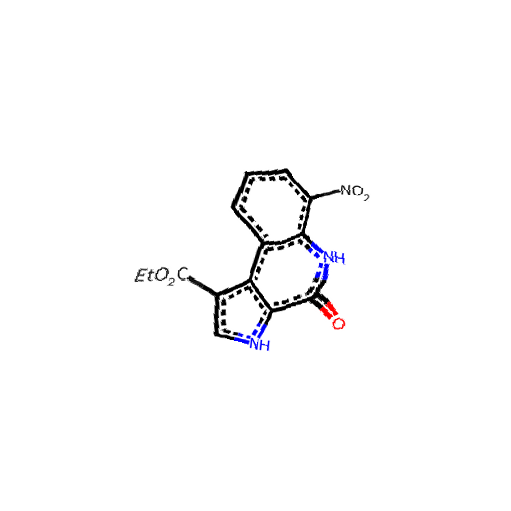 CCOC(=O)c1c[nH]c2c(=O)[nH]c3c([N+](=O)[O-])cccc3c12